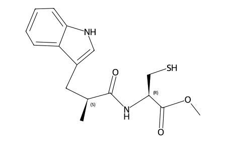 COC(=O)[C@H](CS)NC(=O)[C@@H](C)Cc1c[nH]c2ccccc12